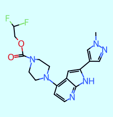 Cn1cc(-c2cc3c(N4CCN(C(=O)OCC(F)F)CC4)ccnc3[nH]2)cn1